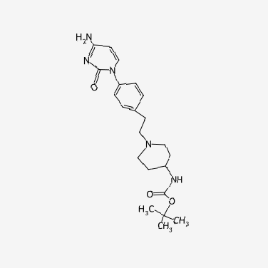 CC(C)(C)OC(=O)NC1CCN(CCc2ccc(-n3ccc(N)nc3=O)cc2)CC1